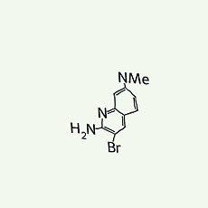 [CH2]Nc1ccc2cc(Br)c(N)nc2c1